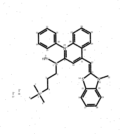 CCCN(CCC[N+](C)(C)C)c1cc(C=C2Sc3ccccc3N2C)c2ccccc2[n+]1-c1ccccc1.[I-].[I-]